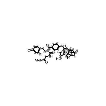 CNC(=O)CNc1nc2cc(N/C(=N/C3C[C@@H]4C[C@H]([C@@H]3C)C4(C)C)N3CC(O)C3)ccc2c(=O)n1CCc1ccc(Cl)cc1Cl